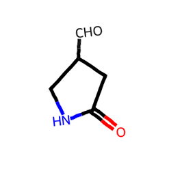 O=CC1CNC(=O)C1